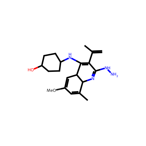 C=C(C)C1=C(NC2CCC(O)CC2)C2C=C(OC)C=C(C)C2N=C1NN